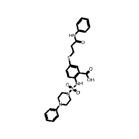 O=C(CCSc1ccc(NS(=O)(=O)N2CCN(c3ccccc3)CC2)c(C(=O)O)c1)Nc1ccccc1